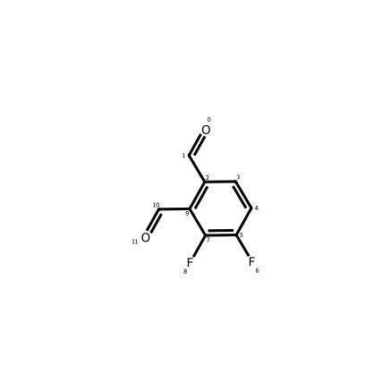 O=Cc1ccc(F)c(F)c1C=O